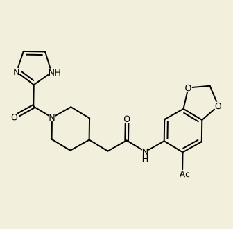 CC(=O)c1cc2c(cc1NC(=O)CC1CCN(C(=O)c3ncc[nH]3)CC1)OCO2